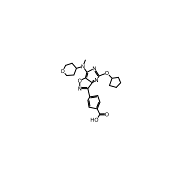 CN(c1nc(OC2CCCC2)nc2c(-c3ccc(C(=O)O)cc3)noc12)C1CCOCC1